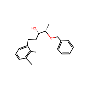 Cc1cccc(CC[C@H](O)[C@H](C)OCc2ccccc2)c1C